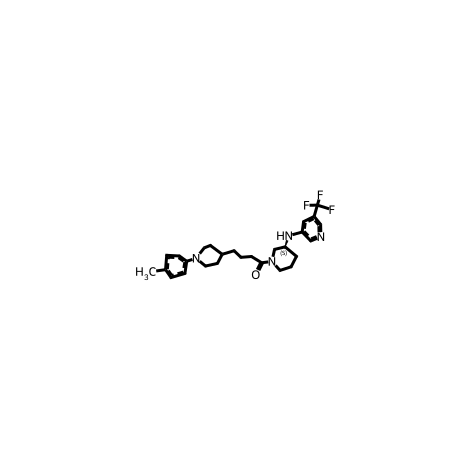 Cc1ccc(N2CCC(CCCC(=O)N3CCC[C@H](Nc4cncc(C(F)(F)F)c4)C3)CC2)cc1